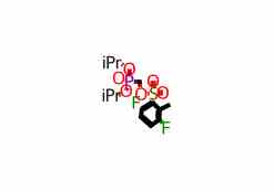 Cc1c(F)ccc(F)c1S(=O)(=O)OCP(=O)(OC(C)C)OC(C)C